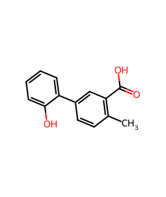 Cc1ccc(-c2ccccc2O)cc1C(=O)O